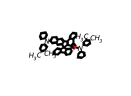 Cc1ccc(N(c2ccccc2)c2ccc3cc4c(cc3c2)C2(c3ccccc3-c3ccccc32)c2c-4c3ccccc3c3cc(N(c4ccccc4)c4ccc(C)c(C)c4)ccc23)cc1C